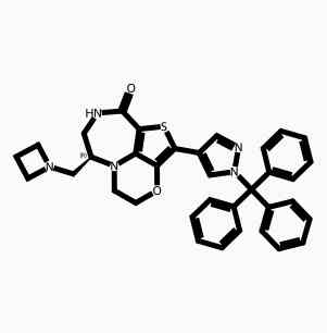 O=C1NC[C@H](CN2CCC2)N2CCOc3c(-c4cnn(C(c5ccccc5)(c5ccccc5)c5ccccc5)c4)sc1c32